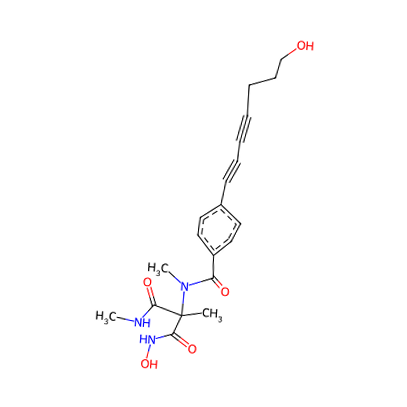 CNC(=O)C(C)(C(=O)NO)N(C)C(=O)c1ccc(C#CC#CCCCO)cc1